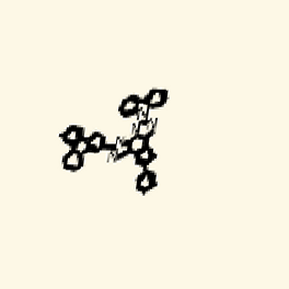 c1ccc(-c2ccc3c(c2)c2cnc(-c4ccc5c6ccccc6c6ccccc6c5c4)nc2c2nc(-n4c5ccccc5c5ccccc54)ncc32)cc1